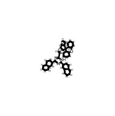 c1ccc2c(c1)Oc1ccccc1C21c2ccccc2-c2ccc(C3=NC(c4ccc5ccccc5c4)=NC(c4ccc5ccccc5c4)N3)cc21